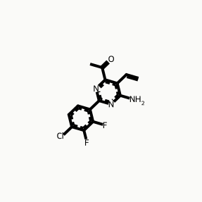 C=Cc1c(N)nc(-c2ccc(Cl)c(F)c2F)nc1C(C)=O